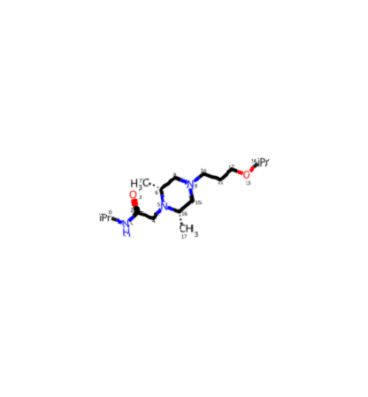 CC(C)NC(=O)CN1[C@H](C)CN(CCCOC(C)C)C[C@@H]1C